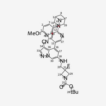 COc1ccc(CN2C3CC2CN(c2ccc(-c4cc(NCC5(F)CN(C(=O)OC(C)(C)C)C5)cn5ncc(C#N)c45)cn2)C3)cn1